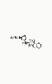 CC(=O)Nc1cccc(NC(=O)[C@H](C)N2Cc3ccccc3C2=O)c1